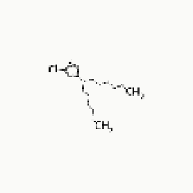 CCCCCCC(CCCCCC)c1csc(Cl)c1